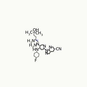 CC(C)(O)CC/C(N)=C/N(N)c1cnc(-n2ncc3cc(C#N)cnc32)cc1NC1CCC(F)CC1